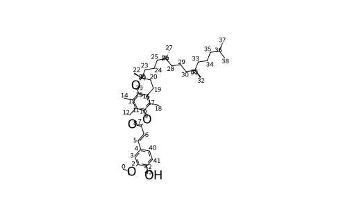 COc1cc(C=CC(=O)Oc2c(C)c(C)c3c(c2C)CC[C@@](C)(CCC[C@H](C)CCC[C@H](C)CCCC(C)C)O3)ccc1O